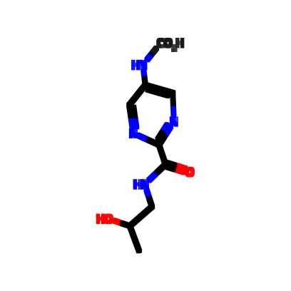 CC(O)CNC(=O)c1ncc(NC(=O)O)cn1